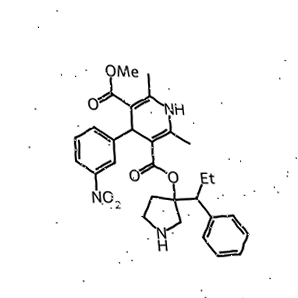 CCC(c1ccccc1)C1(OC(=O)C2=C(C)NC(C)=C(C(=O)OC)C2c2cccc([N+](=O)[O-])c2)CCNC1